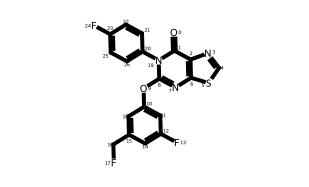 O=c1c2ncsc2nc(Oc2cc(F)cc(CF)c2)n1-c1ccc(F)cc1